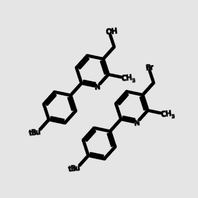 Cc1nc(-c2ccc(C(C)(C)C)cc2)ccc1CBr.Cc1nc(-c2ccc(C(C)(C)C)cc2)ccc1CO